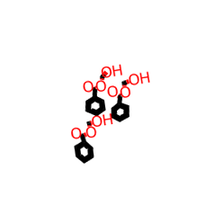 O=C(OCO)c1ccccc1.O=C(OCO)c1ccccc1.O=C(OCO)c1ccccc1